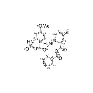 COc1ccc2c(=O)oc(=O)[nH]c2c1.Nc1cnc(F)cc1C(=O)OC(=O)c1ccncc1